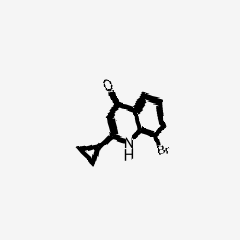 O=c1cc(C2CC2)[nH]c2c(Br)cccc12